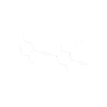 N#Cc1c(O)cc(C#Cc2cc(O)ccc2O)c(O)c1C#N